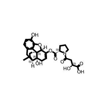 CC1CC[C@]23c4c5ccc(O)c4O[C@H]2C(OC(=O)[C@@H]2CCCN2C(=O)C[C@H](O)C(=O)O)=CC[C@@]3(O)[C@H]1C5